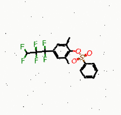 Cc1cc(C(F)(F)C(F)(F)C(F)F)cc(C)c1OS(=O)(=O)c1ccccc1